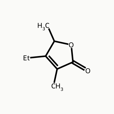 CCC1=C(C)C(=O)OC1C